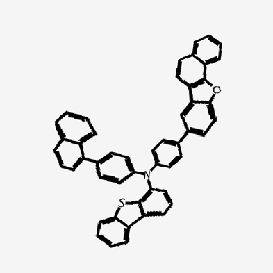 c1ccc2c(-c3ccc(N(c4ccc(-c5ccc6oc7c8ccccc8ccc7c6c5)cc4)c4cccc5c4sc4ccccc45)cc3)cccc2c1